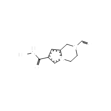 O=CN1CCn2cc(C(=O)NO)cc2C1